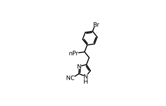 CCCC(Cc1c[nH]c(C#N)n1)c1ccc(Br)cc1